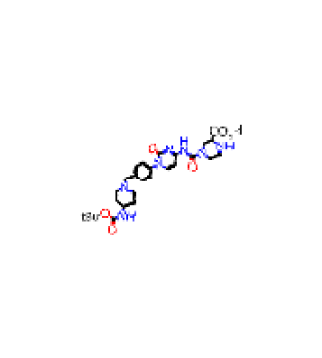 CC(C)(C)OC(=O)NC1CCN(Cc2ccc(-n3ccc(NC(=O)N4CCNC(C(=O)O)C4)nc3=O)cc2)CC1